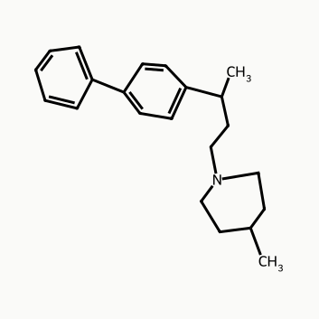 CC1CCN(CCC(C)c2ccc(-c3ccccc3)cc2)CC1